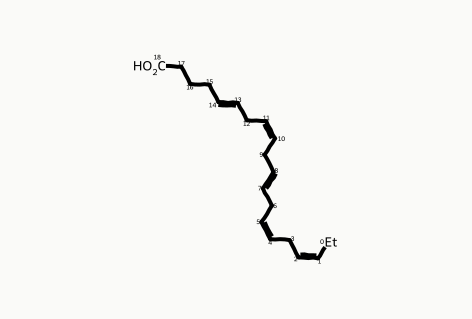 CC/C=C\C/C=C\C/C=C/C/C=C\C/C=C/CCCC(=O)O